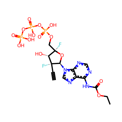 C#C[C@]1(F)[C@H](n2cnc3c(NC(=O)OCC)ncnc32)O[C@](F)(COP(=O)(O)OP(=O)(O)OP(=O)(O)O)[C@H]1O